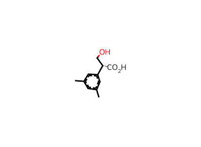 Cc1cc(C)cc([C@H](CO)C(=O)O)c1